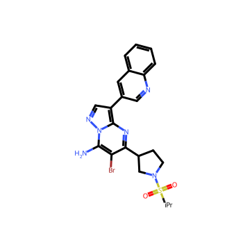 CC(C)S(=O)(=O)N1CCC(c2nc3c(-c4cnc5ccccc5c4)cnn3c(N)c2Br)C1